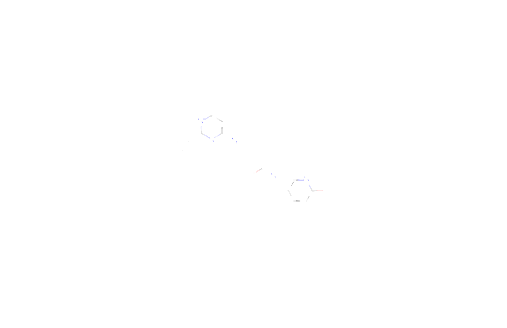 Cc1cc(=O)n(C)c2c1CN(C(=O)CC1CN(c3ccnc(C4CC4)n3)C1)C2